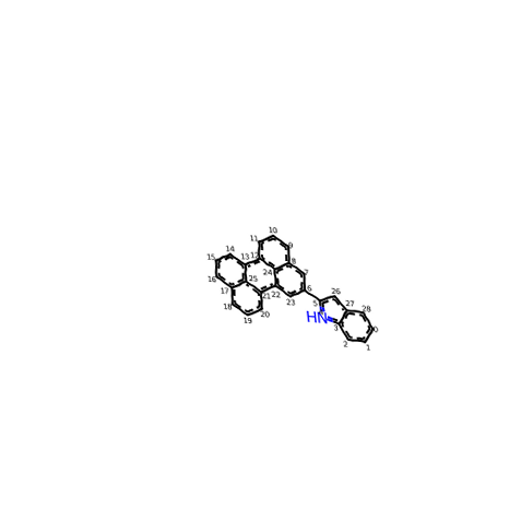 c1ccc2[nH]c(-c3cc4cccc5c6cccc7cccc(c(c3)c45)c76)cc2c1